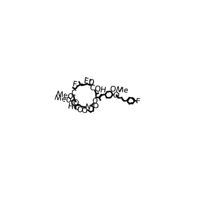 CCC1/C=C(\C)C(F)C(C)CC(OC)C2OC(O)(C(=O)C(=O)N3CCCCC3C(=O)OC(C(C)=CC3CCC(OCCCc4ccc(F)cc4)C(OC)C3)C(C)C(O)CC1=O)C(C)CC2OC